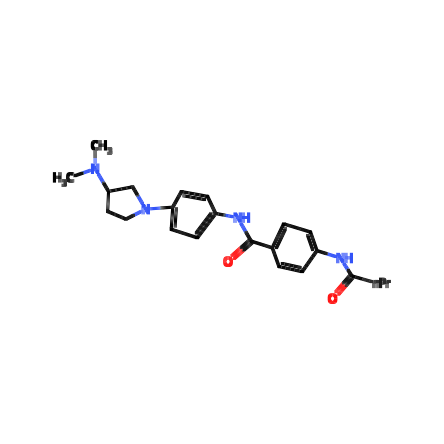 CCCC(=O)Nc1ccc(C(=O)Nc2ccc(N3CCC(N(C)C)C3)cc2)cc1